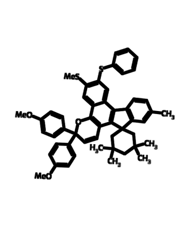 COc1ccc(C2(c3ccc(OC)cc3)C=Cc3c4c(c5cc(Sc6ccccc6)c(SC)cc5c3O2)-c2ccc(C)cc2C42CC(C)(C)CC(C)(C)C2)cc1